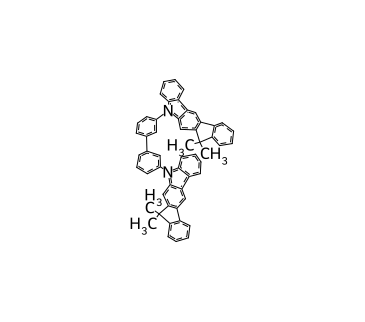 CC1(C)c2ccccc2-c2cc3c4ccccc4n(-c4cccc(-c5cccc(-n6c7ccccc7c7cc8c(cc76)C(C)(C)c6ccccc6-8)c5)c4)c3cc21